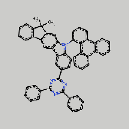 CC1(C)c2ccccc2-c2cc3c4cc(-c5nc(-c6ccccc6)nc(-c6ccccc6)n5)ccc4n(-c4cccc5c6ccccc6c6ccccc6c45)c3cc21